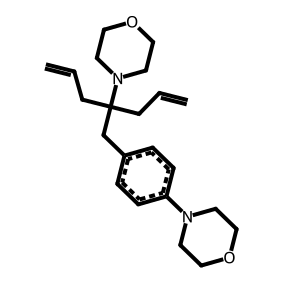 C=CCC(CC=C)(Cc1ccc(N2CCOCC2)cc1)N1CCOCC1